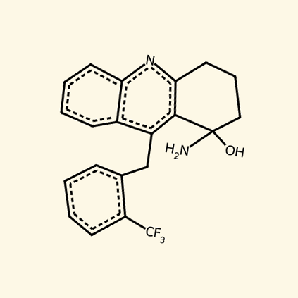 NC1(O)CCCc2nc3ccccc3c(Cc3ccccc3C(F)(F)F)c21